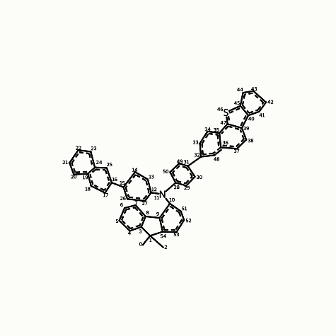 CC1(C)c2ccccc2-c2c(N(c3ccc(-c4ccc5ccccc5c4)cc3)c3ccc(-c4ccc5c(ccc6c7ccccc7sc56)c4)cc3)cccc21